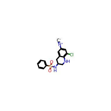 [C-]#[N+]c1cc(Cl)c2c(c1)CC(NS(=O)(=O)c1ccccc1)CN2